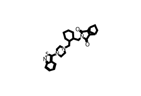 O=C1C2C3CCC(C3)C2C(=O)N1CC1CCCCC1CN1CCN(c2snc3ccccc23)CC1